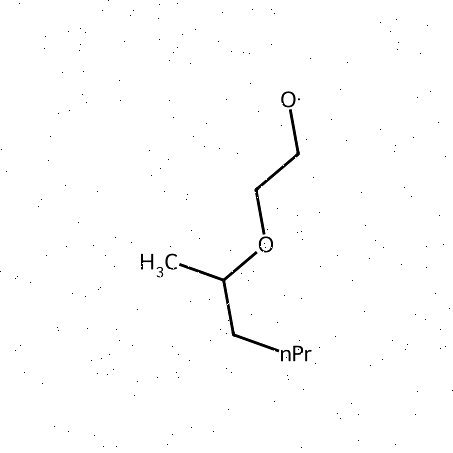 CCCCC(C)OCC[O]